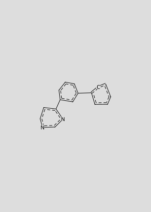 c1ccc(-c2cccc(-c3ccncn3)c2)cc1